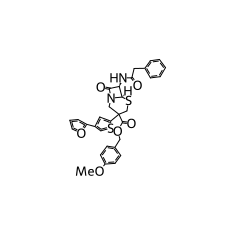 COc1ccc(COC(=O)C2(c3cc(-c4ccco4)cs3)CS[C@@H]3[C@H](NC(=O)Cc4ccccc4)C(=O)N3C2)cc1